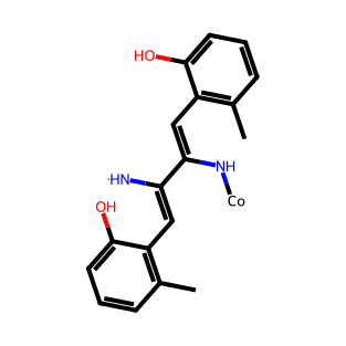 Cc1cccc(O)c1C=C([NH])C(=Cc1c(C)cccc1O)[NH][Co]